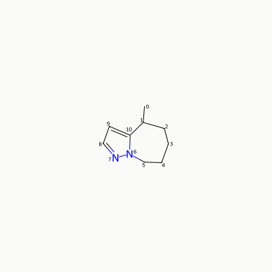 CC1CCCCn2nccc21